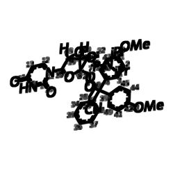 COc1ccc(C(OC[C@]23O[C@@H](n4ccc(=O)[nH]c4=O)[C@H](O[C@H]2C)[C@@H]3OP(OCCC#N)N(C(C)C)C(C)C)(c2ccccc2)c2ccc(OC)cc2)cc1